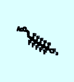 CC(=O)OCCC(F)(F)C(F)(F)C(F)(F)C(F)(F)C(F)(F)C(F)(F)F